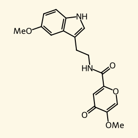 COc1ccc2[nH]cc(CCNC(=O)c3cc(=O)c(OC)co3)c2c1